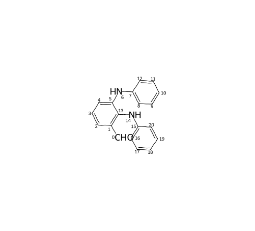 O=Cc1cccc(Nc2ccccc2)c1Nc1ccccc1